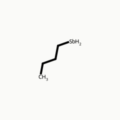 CCC[CH2][SbH2]